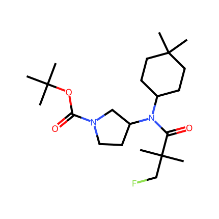 CC1(C)CCC(N(C(=O)C(C)(C)CF)C2CCN(C(=O)OC(C)(C)C)C2)CC1